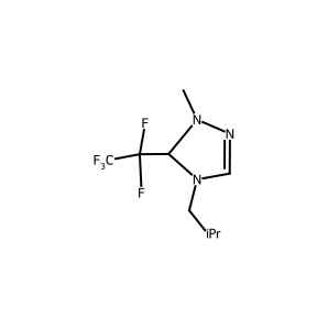 CC(C)CN1C=NN(C)C1C(F)(F)C(F)(F)F